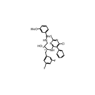 COc1cccc(CNC[C@@H](O)[C@H](Cc2cc(F)cc(F)c2)Nc2nc(SC)nc(Cl)c2-c2ccccc2)c1